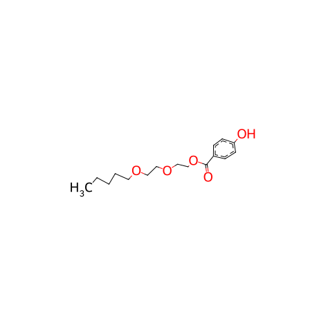 CCCCCOCCOCCOC(=O)c1ccc(O)cc1